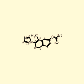 CCC(=O)Oc1ccc2c(c1)C(C)=C(n1ccnc1)CC2